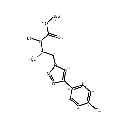 CCN(C(=O)OC(C)(C)C)[C@@H](C)Cn1nnc(-c2ccc(F)cc2)n1